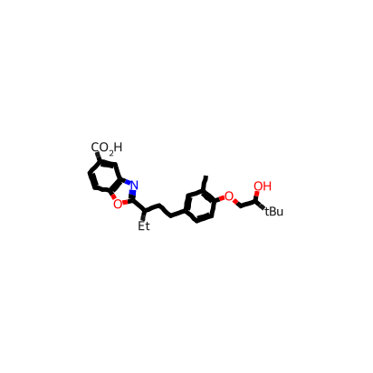 CCC(CCc1ccc(OCC(O)C(C)(C)C)c(C)c1)c1nc2cc(C(=O)O)ccc2o1